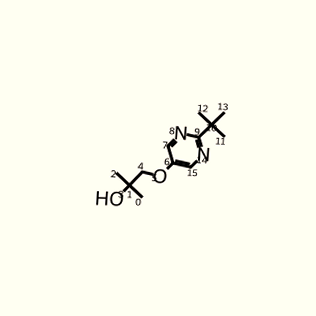 CC(C)(O)COc1cnc(C(C)(C)C)nc1